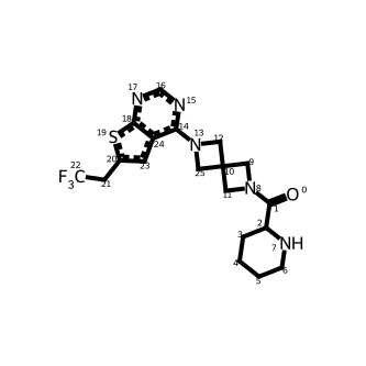 O=C(C1CCCCN1)N1CC2(C1)CN(c1ncnc3sc(CC(F)(F)F)cc13)C2